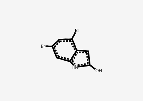 Oc1cc2c(Br)cc(Br)cc2[nH]1